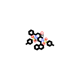 Cc1ccc(S(=O)(=O)N2C[C@H]3C(=O)CC(c4ccccc4)N(S(=O)(=O)c4ccc(C)cc4)[C@H]3CC2c2cccc3ccccc23)cc1